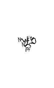 CCn1c(CN(C)C)nc(C(C)C)c1Sc1ccccc1